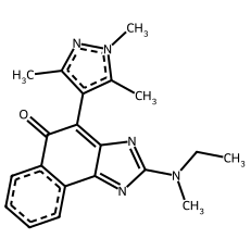 CCN(C)C1=NC2=C(c3c(C)nn(C)c3C)C(=O)c3ccccc3C2=N1